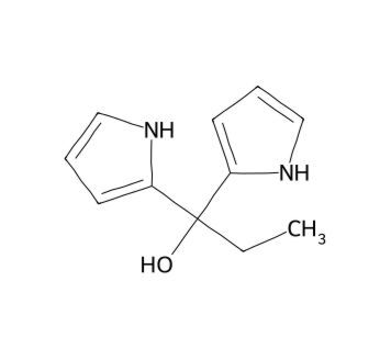 CCC(O)(c1ccc[nH]1)c1ccc[nH]1